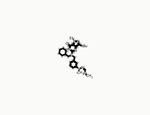 C=N/C=N\N(C)c1cccc(CN(CC2CCCCC2)c2nc3c(C(C)(C)C)nn(CC)c3c(=O)[nH]2)c1